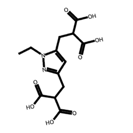 CCn1nc(CC(C(=O)O)C(=O)O)cc1CC(C(=O)O)C(=O)O